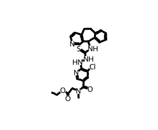 CCOC(=O)CN(C)C(=O)c1cnc(NNC(=S)NC2c3ccccc3CCc3ccncc32)c(Cl)c1